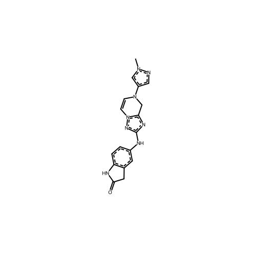 Cn1cc(N2C=Cn3nc(Nc4ccc5c(c4)CC(=O)N5)nc3C2)cn1